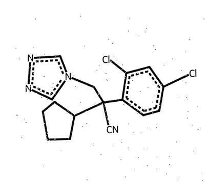 N#CC(Cn1cnnc1)(c1ccc(Cl)cc1Cl)C1CCCC1